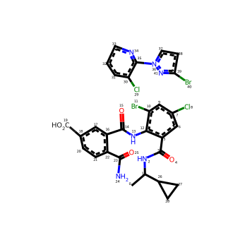 CC(NC(=O)c1cc(Cl)cc(Br)c1NC(=O)c1cc(C(=O)O)ccc1C(N)=O)C1CC1.Clc1cccnc1-n1ccc(Br)n1